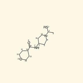 CC(S)N1CCC(NC(=O)C2CCOCC2)CC1